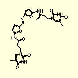 Cc1cn(CCC(=O)Nc2ccc(/C=N/c3ccc(NC(=O)CCn4cc(C)c(=O)[nH]c4=O)o3)o2)c(=O)[nH]c1=O